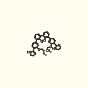 CCOc1nc(-c2cccc(-c3cccc(-c4ccc(C5=NCCN5)c(OCC)n4)c3Cl)c2Cl)ccc1C1=NCCN1